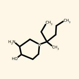 CCCC(C)(CC)N1CCC(O)C(N)C1